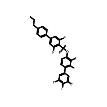 CCCc1ccc(-c2cc(F)c(C(F)(F)Oc3ccc(-c4cc(F)c(F)c(F)c4)c(F)c3F)c(F)c2)cc1